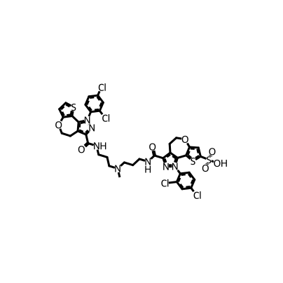 CN(CCCNC(=O)c1nn(-c2ccc(Cl)cc2Cl)c2c1CCOc1ccsc1-2)CCCNC(=O)c1nn(-c2ccc(Cl)cc2Cl)c2c1CCOc1cc(S(=O)(=O)O)sc1-2